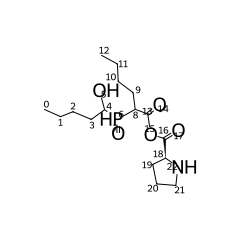 CCCCC(O)[PH](=O)C(CCCC)C(=O)OC(=O)[C@@H]1CCCN1